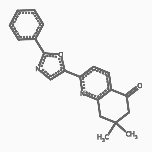 CC1(C)CC(=O)c2ccc(-c3cnc(-c4ccccc4)o3)nc2C1